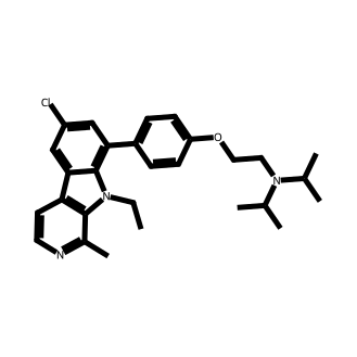 CCn1c2c(-c3ccc(OCCN(C(C)C)C(C)C)cc3)cc(Cl)cc2c2ccnc(C)c21